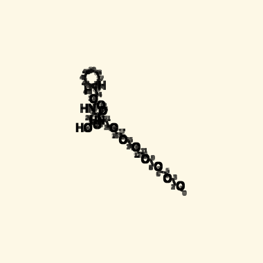 COCCOCCOCCOCCOCCOCCOCCNC(=O)[C@H](CC(=O)O)NC(=O)OCC1[C@H]2CCC#CCC[C@@H]12